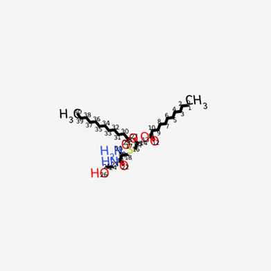 CCCCCCCCCCCC(=O)OC[C@H](CSC[C@H](N)C(=O)NCCO)OC(=O)CCCCCCCCCCC